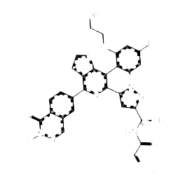 C=CC(=O)N[C@H](C)c1cc(-c2nc(-c3ccc4c(=O)n(C)ncc4c3)c3ccsc3c2-c2c(F)cc(F)cc2OCCO)n[nH]1